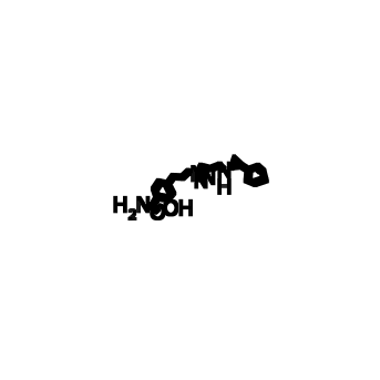 NC(=O)c1ccc(CCCn2cc(CNC3CC3c3ccccc3)nn2)cc1O